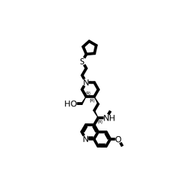 CN[C@H](CC[C@@H]1CCN(CCSC2CCCC2)C[C@@H]1CO)c1ccnc2ccc(OC)cc12